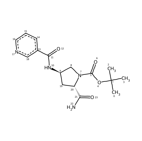 CC(C)(C)OC(=O)N1C[C@H](NC(=O)c2cccnc2)C[C@H]1C(N)=O